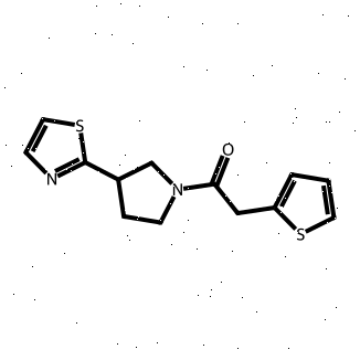 O=C(Cc1cccs1)N1CCC(c2nccs2)C1